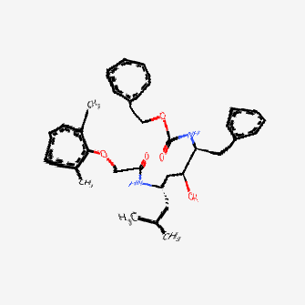 Cc1cccc(C)c1OCC(=O)N[C@@H](CC(C)C)C[C@H](O)[C@H](Cc1ccccc1)NC(=O)OCc1ccccc1